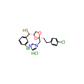 Cl.SC(c1cccc(Br)c1)[C@@H]1CO[C@@](CCc2ccc(Cl)cc2)(Cn2ccnc2)O1